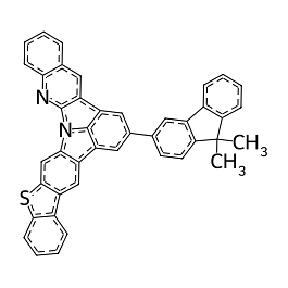 CC1(C)c2ccccc2-c2cc(-c3cc4c5cc6c(cc5n5c7nc8ccccc8cc7c(c3)c45)sc3ccccc36)ccc21